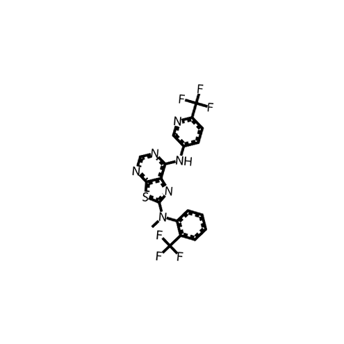 CN(c1nc2c(Nc3ccc(C(F)(F)F)nc3)ncnc2s1)c1ccccc1C(F)(F)F